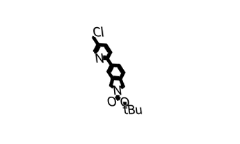 CC(C)(C)OC(=O)N1Cc2ccc(-c3ccc(CCl)cn3)cc2C1